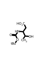 CC(O)C(CC(=O)O)NC(=O)OC(C)(C)C